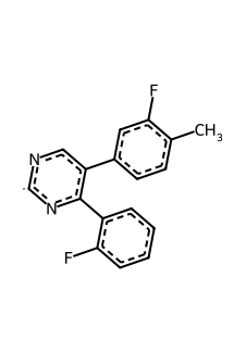 Cc1ccc(-c2cn[c]nc2-c2ccccc2F)cc1F